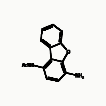 CC(=O)Nc1ccc(N)c2oc3ccccc3c12